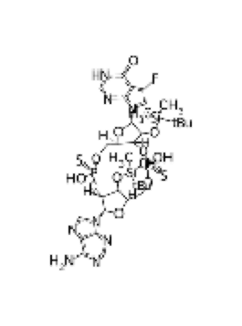 CC(C)(C)[Si](C)(C)OC1[C@H]2OP(O)(=S)OC[C@H]3O[C@@H](n4cc(F)c5c(=O)[nH]cnc54)C(O[Si](C)(C)C(C)(C)C)[C@@H]3OP(O)(=S)OC[C@H]1O[C@H]2n1cnc2c(N)ncnc21